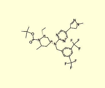 CC[C@@H]1C[C@H](N(Cc2cc(C(F)(F)F)cc(C(F)(F)F)c2)c2ncc(C3C=NN(C)C3)cn2)CC(C)N1C(=O)OC(C)(C)C